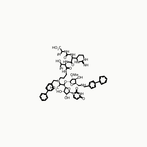 CO[C@H]1[C@@H](OC(C(C(=O)O)N(CCCNC(=O)C(NC(=O)C(NC(=O)NC(C(=O)O)C(C)C)C2CCNC(=N)N2)C(O)C(C)C)Cc2ccc(-c3ccccc3)cc2)[C@H]2O[C@@H](n3ccc(=O)[nH]c3=O)[C@H](O)[C@@H]2O)O[C@H](CNCc2ccc(-c3ccccc3)cc2)[C@@H]1O